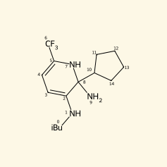 CCC(C)NC1=CC=C(C(F)(F)F)NC1(N)C1CCCC1